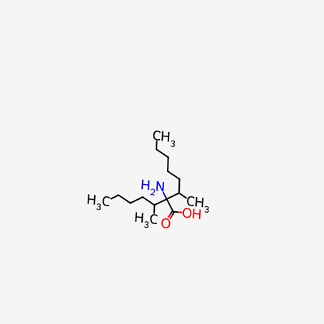 CCCCCC(C)C(N)(C(=O)O)C(C)CCCC